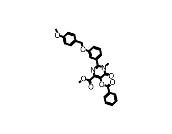 COC(=O)c1nc(-c2cccc(OCc3ccc(OC)cc3)c2)n(C)c(=O)c1OC(=O)c1ccccc1